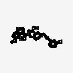 COc1ccc2nccc([C@@H](O)CC[C@@H]3CCN(CC#Cc4cccc(Cl)c4)C[C@@H]3C(=O)O)c2c1